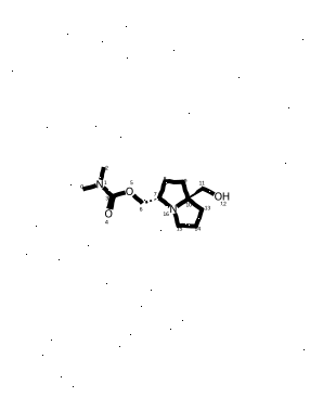 CN(C)C(=O)OC[C@@H]1CC[C@]2(CO)CCCN12